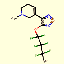 CCCC(F)(F)C(F)(F)C(F)(F)Oc1nsnc1C1=CCCN(C)C1